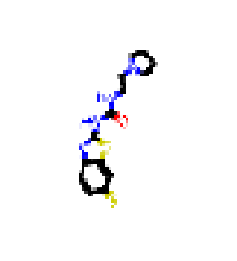 O=C(NCCN1CCCC1)NC1N=C2C=CC(=S)C=C2S1